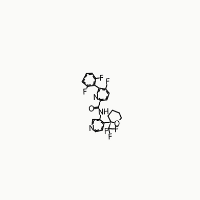 O=C(Nc1cnccc1[C@]1(C(F)(F)F)CCCCO1)c1ccc(F)c(-c2c(F)cccc2F)n1